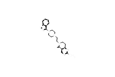 Cc1ncc2c(n1)CCN(CCN1CCN(c3noc4ccccc34)CC1)C2=O